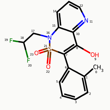 Cc1ccccc1C1=C(O)c2ncccc2N(CC(F)F)S1(=O)=O